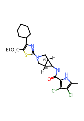 CCOC(=O)c1sc(N2C[C@@H]3C(NC(=O)c4[nH]c(C)c(Cl)c4Cl)[C@@H]3C2)nc1C1CCCCC1